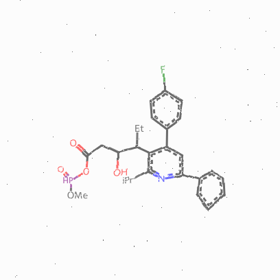 CCC(c1c(-c2ccc(F)cc2)cc(-c2ccccc2)nc1C(C)C)C(O)CC(=O)O[PH](=O)OC